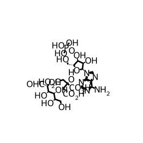 Nc1ncnc2c1ncn2[C@@H]1O[C@H](CO)[C@@H](O)[C@H]1O.O=C(O)CC(O)(CC(=O)O)C(=O)O.O=C[C@H](O)[C@@H](O)[C@H](O)[C@H](O)CO.O=P(O)(O)O